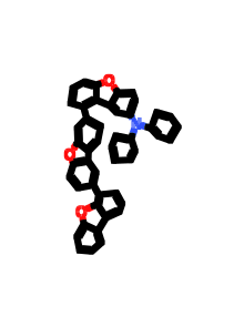 c1ccc(N(c2ccccc2)c2ccc3oc4cccc(-c5ccc6c(c5)oc5ccc(-c7cccc8c7oc7ccccc78)cc56)c4c3c2)cc1